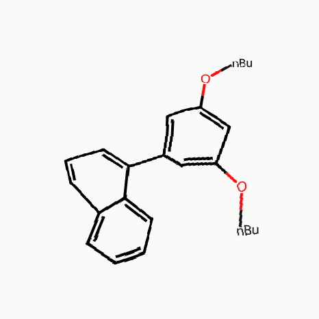 CCCCOc1cc(OCCCC)cc(-c2cccc3ccccc23)c1